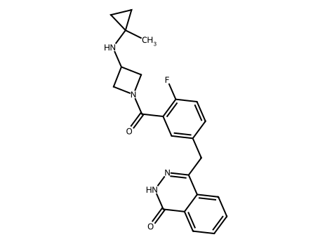 CC1(NC2CN(C(=O)c3cc(Cc4n[nH]c(=O)c5ccccc45)ccc3F)C2)CC1